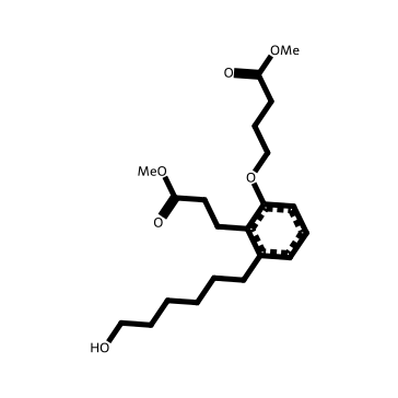 COC(=O)CCCOc1cccc(CCCCCCO)c1CCC(=O)OC